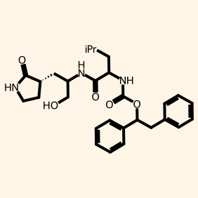 CC(C)CC(NC(=O)OC(Cc1ccccc1)c1ccccc1)C(=O)NC(CO)C[C@@H]1CCNC1=O